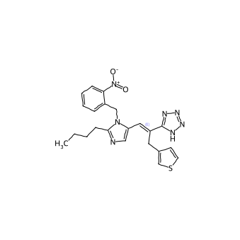 CCCCc1ncc(/C=C(\Cc2ccsc2)c2nnn[nH]2)n1Cc1ccccc1[N+](=O)[O-]